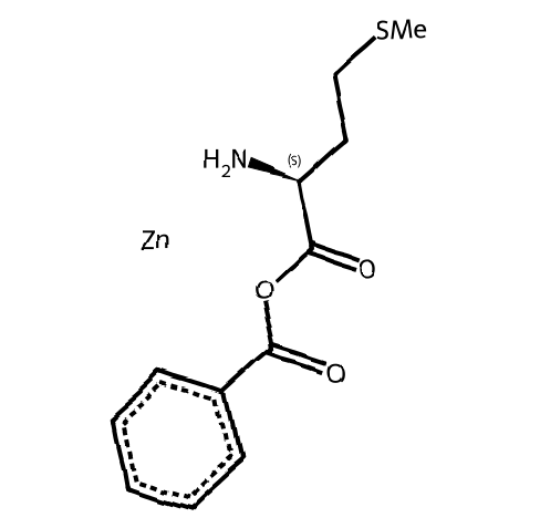 CSCC[C@H](N)C(=O)OC(=O)c1ccccc1.[Zn]